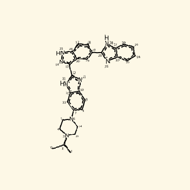 CC(C)N1CCN(c2ccc3nc(-c4n[nH]c5ccc(-c6nc7ccccc7[nH]6)cc45)[nH]c3c2)CC1